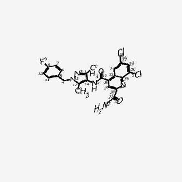 Cc1nn(Cc2ccc(F)cc2)c(C)c1NC(=O)c1cc(C(N)=O)nc2c(Cl)cc(Cl)cc12